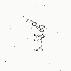 CN(CCCC(=O)OC(C)(C)C)c1cnc(-c2cc3nccc(Oc4ccc([N+](=O)[O-])cc4F)c3s2)n1C